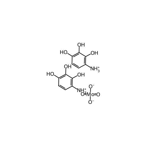 [NH3+]c1ccc(O)c(O)c1O.[NH3+]c1ccc(O)c(O)c1O.[O]=[Mo](=[O])([O-])[O-]